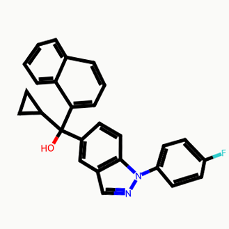 OC(c1ccc2c(cnn2-c2ccc(F)cc2)c1)(c1cccc2ccccc12)C1CC1